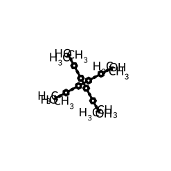 CC(C)(O)C#Cc1ccc(C#Cc2ccc(C(c3ccc(C#Cc4ccc(C#CC(C)(C)O)cc4)cc3)(c3ccc(C#Cc4ccc(C#CC(C)(C)O)cc4)cc3)c3ccc(C#Cc4ccc(C#CC(C)(C)O)cc4)cc3)cc2)cc1